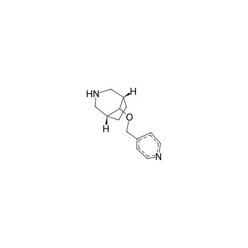 c1cc(COC2[C@@H]3CC[C@H]2CNC3)ccn1